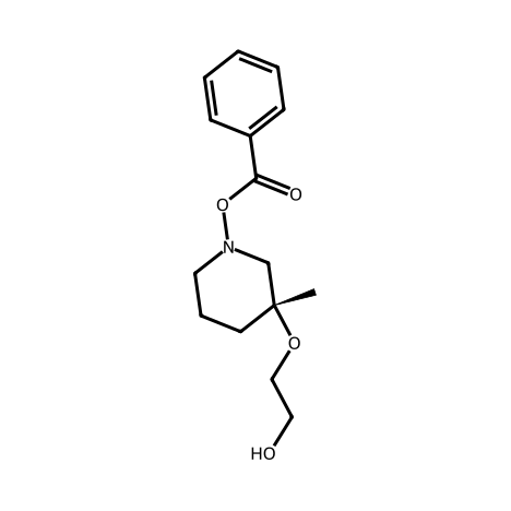 C[C@@]1(OCCO)CCCN(OC(=O)c2ccccc2)C1